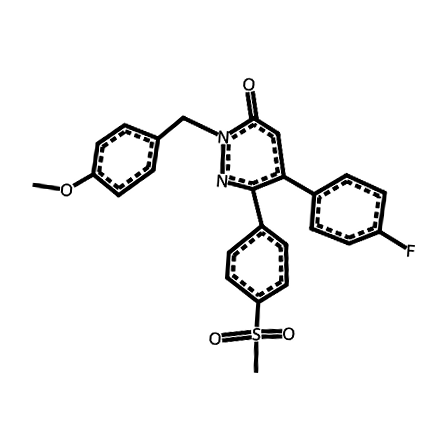 COc1ccc(Cn2nc(-c3ccc(S(C)(=O)=O)cc3)c(-c3ccc(F)cc3)cc2=O)cc1